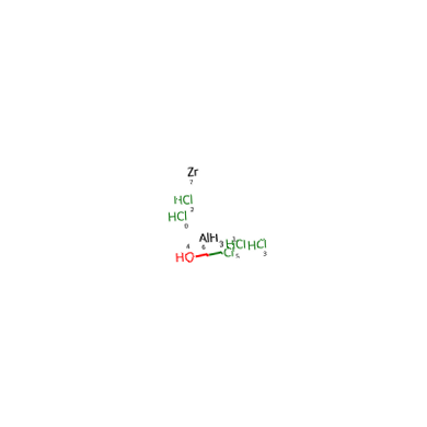 Cl.Cl.Cl.Cl.OCl.[AlH3].[Zr]